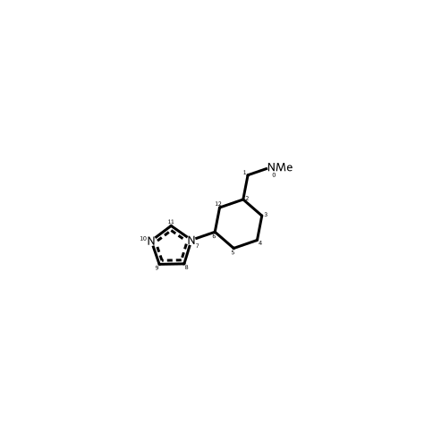 CNCC1CCCC(n2ccnc2)C1